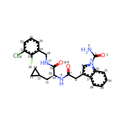 NC(=O)n1cc(CC(=O)N[C@@H](CC2CC2)C(=O)NCc2cccc(Cl)c2F)c2ccccc21